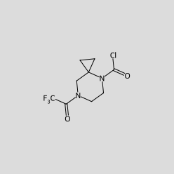 O=C(Cl)N1CCN(C(=O)C(F)(F)F)CC12CC2